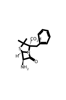 CC1(C)S[C@@H]2[C@H](N)C(=O)N2[C@@]1(Cc1ccccc1)C(=O)O